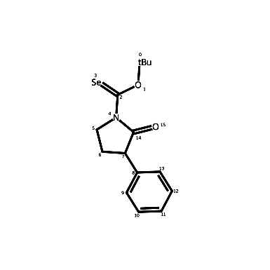 CC(C)(C)OC(=[Se])N1CCC(c2ccccc2)C1=O